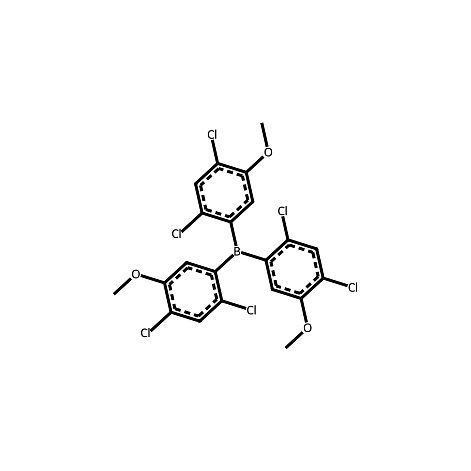 COc1cc(B(c2cc(OC)c(Cl)cc2Cl)c2cc(OC)c(Cl)cc2Cl)c(Cl)cc1Cl